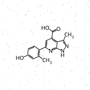 Cc1cc(O)ccc1-c1cc(C(=O)O)c2c(C)n[nH]c2n1